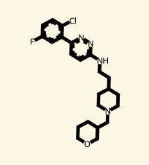 Fc1ccc(Cl)c(-c2ccc(NCCC3CCN(CC4CCCOC4)CC3)nn2)c1